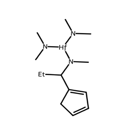 CCC(C1=CC=CC1)[N](C)[Hf]([N](C)C)[N](C)C